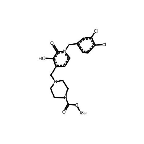 CC(C)(C)OC(=O)N1CCN(Cc2ccn(Cc3ccc(Cl)c(Cl)c3)c(=O)c2O)CC1